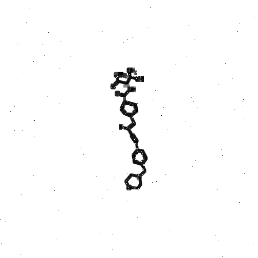 COC(=O)[C@@H](NC(=O)c1ccc(C=C(F)C#Cc2ccc(CN3CCOCC3)cc2)cc1)[C@@H](C)O